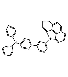 c1ccc(N(c2ccccc2)c2ccc(-c3cccc(-n4c5cccc6ccc7cccc4c7c65)c3)cc2)cc1